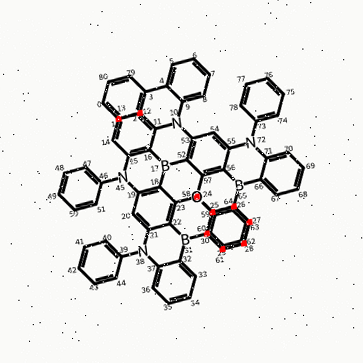 c1ccc(-c2ccccc2N2c3cccc4c3B(c3c(cc5c6c3Oc3ccccc3B6c3ccccc3N5c3ccccc3)N4c3ccccc3)c3c2cc2c4c3Oc3ccccc3B4c3ccccc3N2c2ccccc2)cc1